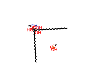 CCCCCCCCCCCCCCCCCCCCC(O)CC(C)(CC(O)CCCCCCCCCCCCCCCCCCCC)C(O)C(N)(OCC)OCC.CCOS(=O)(=O)O